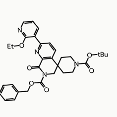 CCOc1ncccc1-c1ccc2c(n1)C(=O)N(C(=O)OCc1ccccc1)CC21CCN(C(=O)OC(C)(C)C)CC1